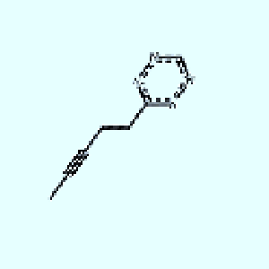 CC#CCCc1nncnn1